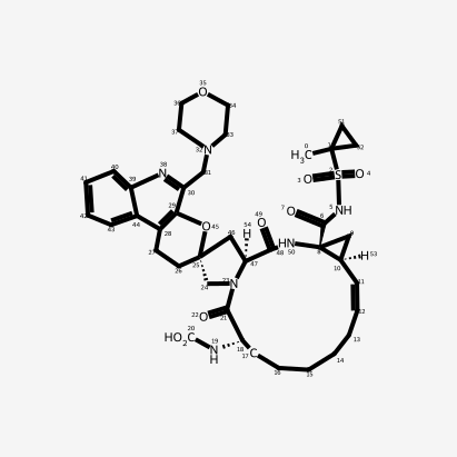 CC1(S(=O)(=O)NC(=O)[C@@]23C[C@H]2C=CCCCCC[C@H](NC(=O)O)C(=O)N2C[C@@]4(CCc5c(c(CN6CCOCC6)nc6ccccc56)O4)C[C@H]2C(=O)N3)CC1